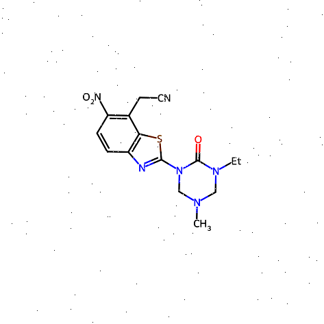 CCN1CN(C)CN(c2nc3ccc([N+](=O)[O-])c(CC#N)c3s2)C1=O